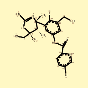 C[C@@H]1[C@@](C)(CO)SC(N)=N[C@]1(C)c1cc(NC(=O)c2ccc(Cl)cn2)cc(CO)c1F